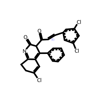 O=C(/C=C/c1cc(Cl)cc(Cl)c1)C1C(=O)N=C2CCC(Cl)=CC2=C1c1ccccc1